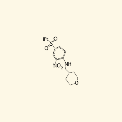 CC(C)S(=O)(=O)c1ccc(NCC2CCOCC2)c([N+](=O)[O-])c1